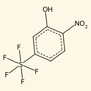 O=[N+]([O-])c1ccc(S(F)(F)(F)(F)F)cc1O